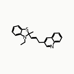 CCN1c2ccccc2SC1(C)C=CCc1cnc2ccccc2c1